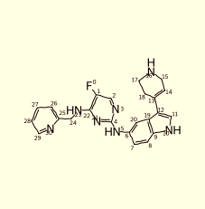 Fc1cnc(Nc2ccc3[nH]cc(C4=CCNCC4)c3c2)nc1NCc1ccccn1